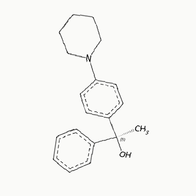 C[C@](O)(c1ccccc1)c1ccc(N2CCCCC2)cc1